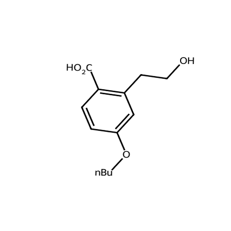 CCCCOc1ccc(C(=O)O)c(CCO)c1